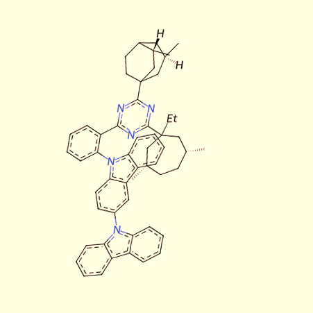 CCC1(c2nc(-c3ccccc3-n3c4ccccc4c4cc(-n5c6ccccc6c6ccccc65)ccc43)nc(C34CCC(C[C@@H](C)C3)[C@H](C)C4)n2)C[C@H](C)CC[C@H](C)C1